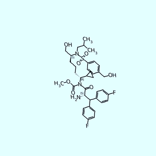 COC(=O)N(C(=O)[C@@H](N)C(c1ccc(F)cc1)c1ccc(F)cc1)[C@H](CCC[C@@H](CO)N(CC(C)C)S(=O)(=O)c1ccc(CO)cc1)C1CC1